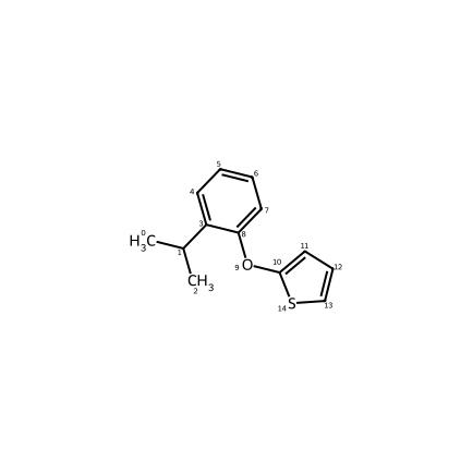 CC(C)c1ccccc1Oc1cccs1